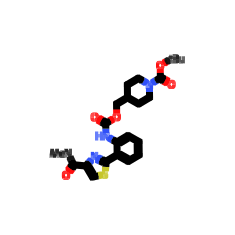 CNC(=O)c1csc(-c2ccccc2NC(=O)OCC2CCN(C(=O)OC(C)(C)C)CC2)n1